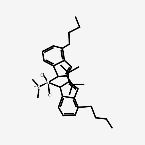 CCCCc1cccc2c1C=C(C(C)C)[CH]2[Zr]([Cl])([Cl])([CH]1C(C(C)C)=Cc2c(CCCC)cccc21)[SiH](C)C